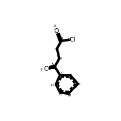 O=C(Cl)CCC(=O)c1ccccc1